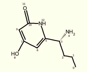 CCC[C@@H](N)c1cc(O)cc(=O)[nH]1